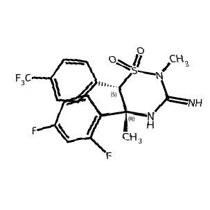 CN1C(=N)N[C@](C)(c2ccc(F)cc2F)[C@H](c2ccc(C(F)(F)F)cc2)S1(=O)=O